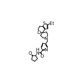 CCc1cc2c(s1)CCOC21CCN(Cc2ccc(C(=O)NC3CCCC3=O)nc2)CC1